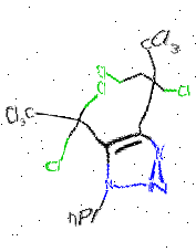 CCCn1nnc(C(Cl)(Cl)C(Cl)(Cl)Cl)c1C(Cl)(Cl)C(Cl)(Cl)Cl